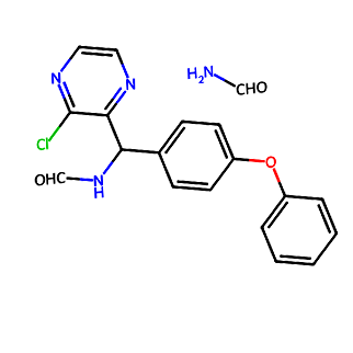 NC=O.O=CNC(c1ccc(Oc2ccccc2)cc1)c1nccnc1Cl